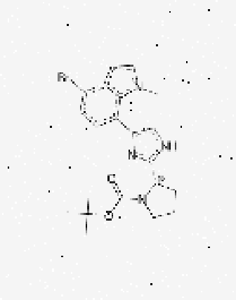 Cn1ccc2c(Br)ccc(-c3c[nH]c([C@@H]4CCCN4C(=O)OC(C)(C)C)n3)c21